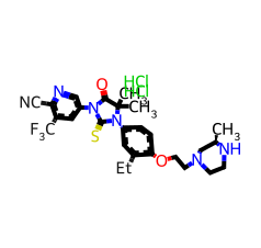 CCc1cc(N2C(=S)N(c3cnc(C#N)c(C(F)(F)F)c3)C(=O)C2(C)C)ccc1OCCN1CCN[C@H](C)C1.Cl.Cl